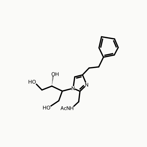 CC(=O)NCc1nc(CCc2ccccc2)cn1C(CO)[C@@H](O)CO